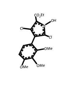 CCOC(=O)c1c(Cl)c(-c2ccc(OC)c(OC)c2OC)c(Cl)n1O